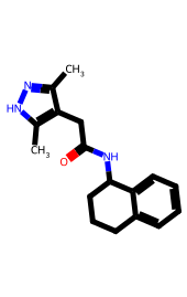 Cc1n[nH]c(C)c1CC(=O)NC1CCCc2ccccc21